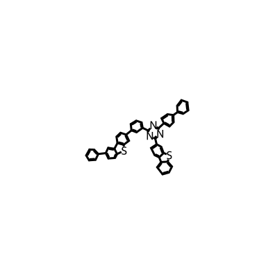 c1ccc(-c2ccc(-c3nc(-c4cccc(-c5ccc6c(c5)sc5ccc(-c7ccccc7)cc56)c4)nc(-c4ccc5c(c4)sc4ccccc45)n3)cc2)cc1